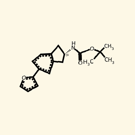 CC(C)(C)OC(=O)N[C@H]1Cc2ccc(-c3ccco3)cc2C1